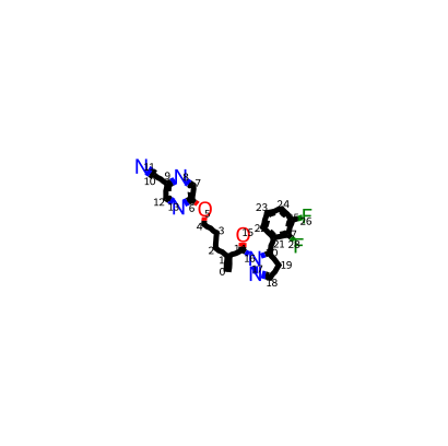 C=C(CCCOc1cnc(C#N)cn1)C(=O)N1N=CCC1c1cccc(F)c1F